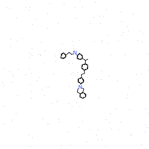 CC(c1ccc(CCc2ccc(N3CCc4ccccc4C3)cc2)cc1)c1ccc(N(C)CCc2ccccc2)cc1